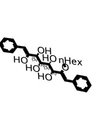 CCCCCCOC(=Cc1ccccc1)[C@H](O)[C@@H](O)[C@H](O)[C@H](O)C(O)=Cc1ccccc1